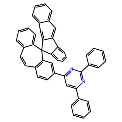 C1=Cc2ccc(-c3cc(-c4ccccc4)nc(-c4ccccc4)n3)cc2C2(c3ccccc31)c1ccccc1-c1cc3ccccc3cc12